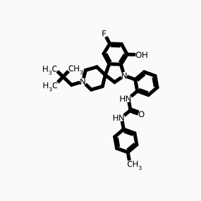 Cc1ccc(NC(=O)Nc2ccccc2N2CC3(CCN(CC(C)(C)C)CC3)c3cc(F)cc(O)c32)cc1